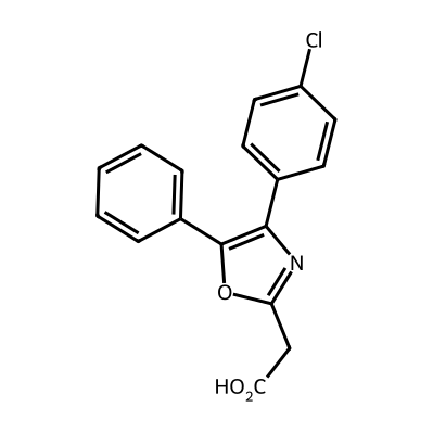 O=C(O)Cc1nc(-c2ccc(Cl)cc2)c(-c2ccccc2)o1